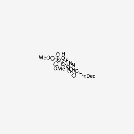 CCCCCCCCCCCCCCCCN(C(=O)c1ccccc1)c1ncnc2c1ncn2[C@@H]1O[C@H](COC(c2ccccc2)(c2ccc(OC)cc2)c2ccc(OC)cc2)C(O)C1F